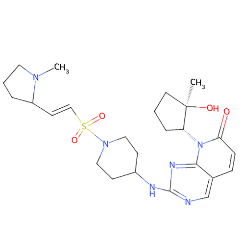 CN1CCCC1/C=C/S(=O)(=O)N1CCC(Nc2ncc3ccc(=O)n([C@@H]4CCC[C@@]4(C)O)c3n2)CC1